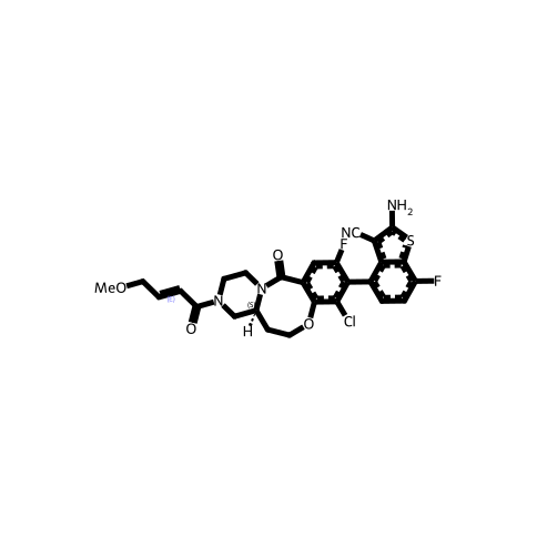 COC/C=C/C(=O)N1CCN2C(=O)c3cc(F)c(-c4ccc(F)c5sc(N)c(C#N)c45)c(Cl)c3OCC[C@H]2C1